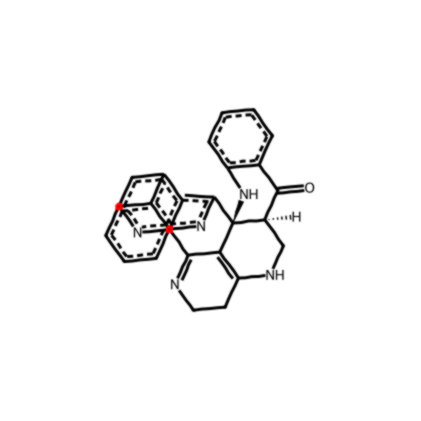 O=C1c2ccccc2N[C@@]23C4=C(CCN=C4c4nccc5c4c2nc2ccccc25)NC[C@H]13